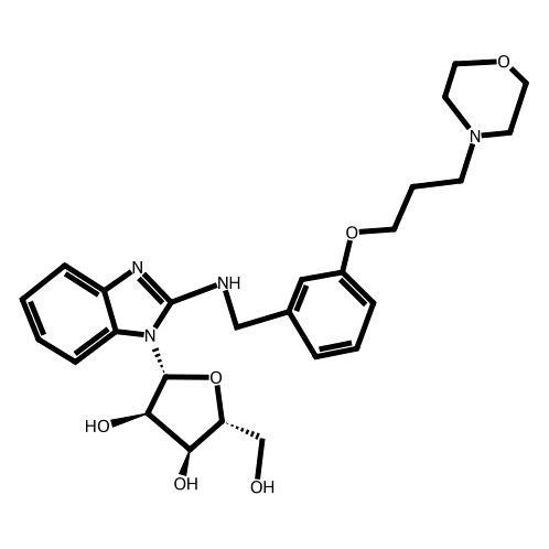 OC[C@H]1O[C@@H](n2c(NCc3cccc(OCCCN4CCOCC4)c3)nc3ccccc32)[C@H](O)[C@@H]1O